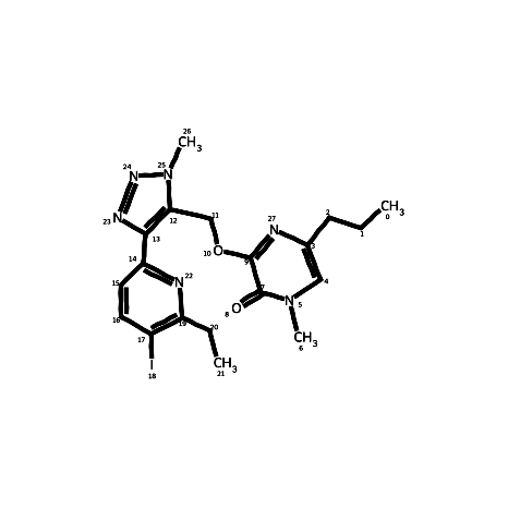 CCCc1cn(C)c(=O)c(OCc2c(-c3ccc(I)c(CC)n3)nnn2C)n1